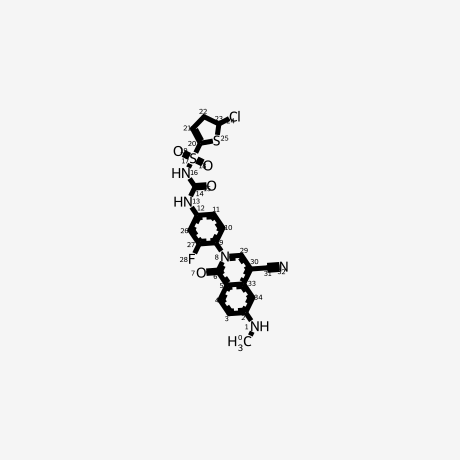 CNc1ccc2c(=O)n(-c3ccc(NC(=O)NS(=O)(=O)C4=CCC(Cl)S4)cc3F)cc(C#N)c2c1